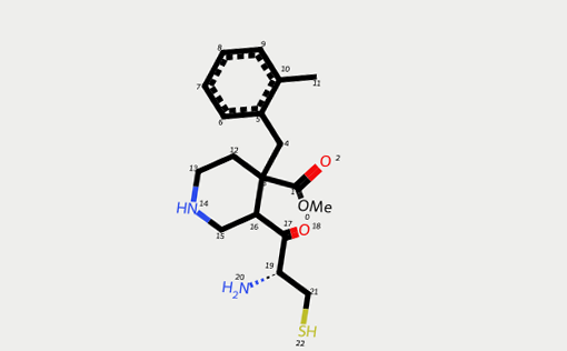 COC(=O)C1(Cc2ccccc2C)CCNCC1C(=O)[C@@H](N)CS